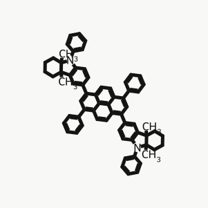 CC12CCCCC1(C)N(c1ccccc1)c1ccc(-c3cc(-c4ccccc4)c4ccc5c(-c6ccc7c(c6)C6(C)CCCCC6(C)N7c6ccccc6)cc(-c6ccccc6)c6ccc3c4c65)cc12